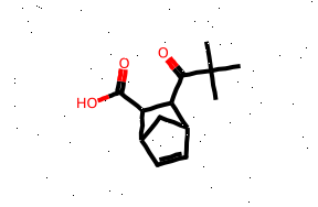 CC(C)(C)C(=O)C1C2C=CC(C2)C1C(=O)O